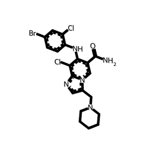 NC(=O)c1cn2c(CN3CCCCC3)cnc2c(Cl)c1Nc1ccc(Br)cc1Cl